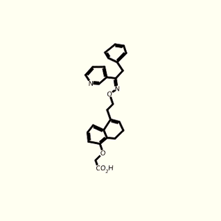 O=C(O)COc1cccc2c1CCC=C2CCO/N=C(/Cc1ccccc1)c1cccnc1